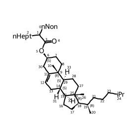 CCCCCCCCCC(CCCCCCC)C(=O)O[C@H]1CC[C@@]2(C)C(=CC[C@H]3[C@@H]4CC[C@H]([C@H](C)CCCC(C)C)[C@@]4(C)CC[C@@H]32)C1